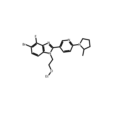 CCOCCn1c(-c2ccc(N3CCCC3C)nc2)nc2c(F)c(Br)ccc21